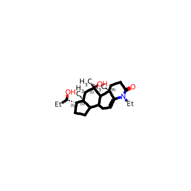 CCC(O)[C@H]1CCC2C3CC=C4N(CC)C(=O)CC[C@]4(C)C3[C@@](C)(O)C[C@@]21C